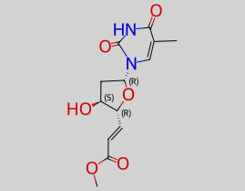 COC(=O)C=C[C@H]1O[C@@H](n2cc(C)c(=O)[nH]c2=O)C[C@@H]1O